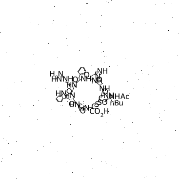 CCCC[C@H](NC(C)=O)C(=O)N[C@H]1CSSC[C@@H](C(=O)O)NC(=O)CNC(=O)[C@H](Cc2c[nH]c3ccccc23)NC(=O)[C@H](CCCNC(=N)N)NC(=O)[C@@H](Cc2ccccc2)NC(=O)[C@H](Cc2c[nH]cn2)NC(=O)[C@@H](C)NC1=O